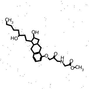 CCCCCC(O)CCC1C(O)CC2Cc3c(cccc3OCC(=O)CNCC(=O)OC)CC21